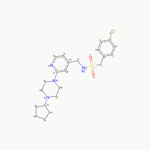 O=S(=O)(Cc1ccc(Cl)cc1)NCc1ccnc(N2CCN(C3CCCC3)CC2)c1